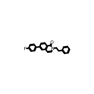 O=c1c2ccc(-c3ccc(F)cc3)cc2ccn1CCc1ccccc1